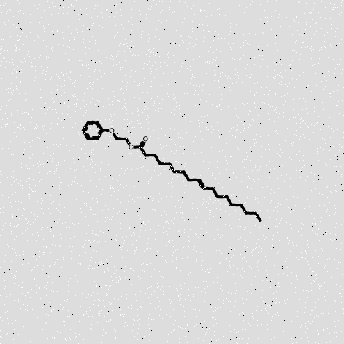 CCCCCCCCC=CCCCCCCCC(=O)OCCOc1ccccc1